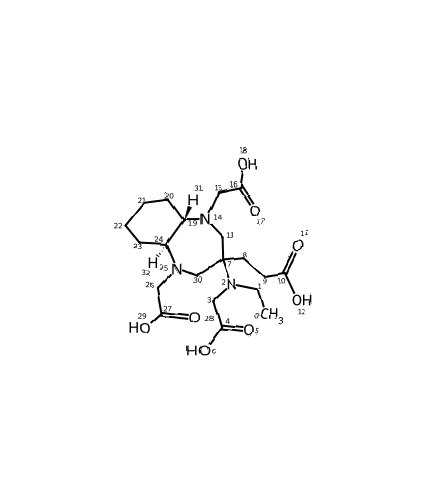 CCN(CC(=O)O)C1(CCC(=O)O)CN(CC(=O)O)[C@H]2CCCC[C@@H]2N(CC(=O)O)C1